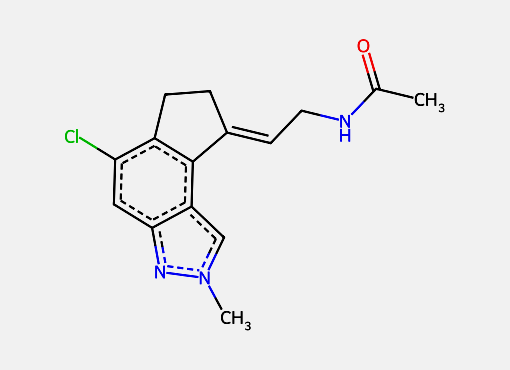 CC(=O)NCC=C1CCc2c(Cl)cc3nn(C)cc3c21